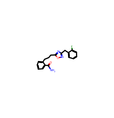 NC(=O)c1ccccc1CC[CH]c1nc(Cc2ccccc2F)no1